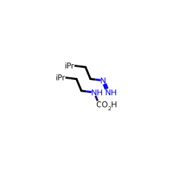 CC(C)CCN=N.CC(C)CCNC(=O)O